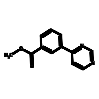 COC(=O)c1cccc(-c2ccncn2)c1